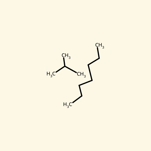 CC(C)C.CCCCCCC